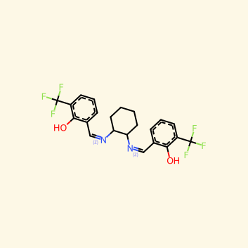 Oc1c(/C=N\C2CCCCC2/N=C\c2cccc(C(F)(F)F)c2O)cccc1C(F)(F)F